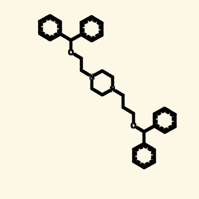 c1ccc(C(OCCCN2CCN(CCOC(c3ccccc3)c3ccccc3)CC2)c2ccccc2)cc1